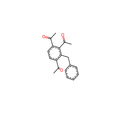 CC(=O)c1ccc(C(C)=O)c(C(C)=O)c1Cc1ccccc1